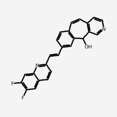 OC1c2cnccc2C=Cc2ccc(C=Cc3ccc4cc(F)c(F)cc4n3)cc21